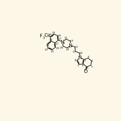 O=C1CCCc2c1ccn2CCCN1CCN(c2ccc(C(F)(F)F)c3ccccc23)CC1